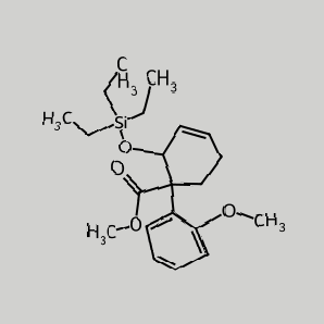 CC[Si](CC)(CC)OC1C=CCCC1(C(=O)OC)c1ccccc1OC